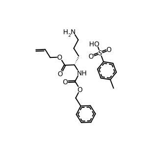 C=CCOC(=O)[C@H](CCCN)NC(=O)OCc1ccccc1.Cc1ccc(S(=O)(=O)O)cc1